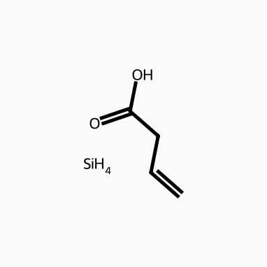 C=CCC(=O)O.[SiH4]